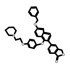 O=C1OCc2cc(-c3ccc4cc(OCc5ccccc5)ccc4c3Oc3ccc(OCCN4CCCCC4)cc3)ccc21